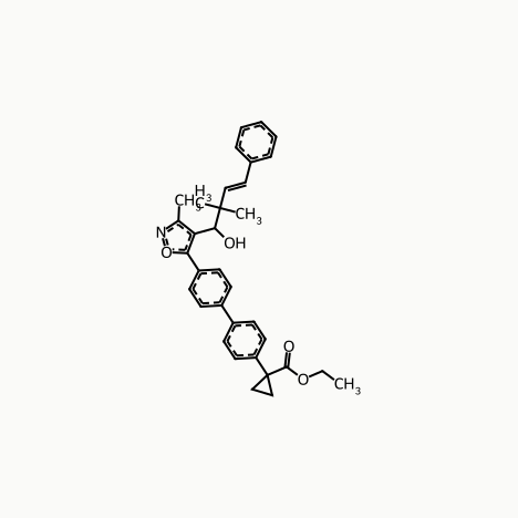 CCOC(=O)C1(c2ccc(-c3ccc(-c4onc(C)c4C(O)C(C)(C)/C=C/c4ccccc4)cc3)cc2)CC1